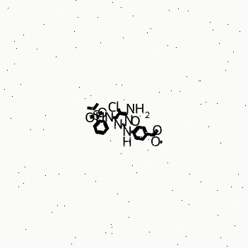 COC(=O)c1ccc(Nc2nc(N)c(Cl)c(Nc3ccccc3S(=O)(=O)C(C)C)n2)c(OC)c1